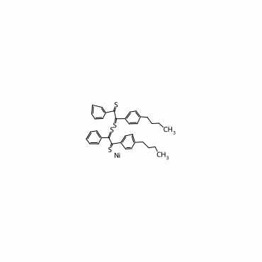 CCCCc1ccc(C(=S)C(=S)c2ccccc2)cc1.CCCCc1ccc(C(=S)C(=S)c2ccccc2)cc1.[Ni]